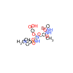 COc1cc(CC(=O)N2C[C@@H](NS(=O)(=O)c3ccc4c(N(C)C)cccc4c3)C[C@H]2COc2ccc(C(=O)O)cc2)ccc1NC(=O)Nc1ccccc1Br